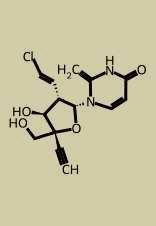 C#C[C@]1(CO)O[C@@H](N2C=CC(=O)NC2=C)[C@@H](C=CCl)[C@@H]1O